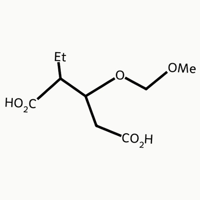 CCC(C(=O)O)C(CC(=O)O)OCOC